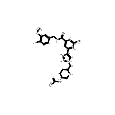 COc1cc(CNC(=O)c2cc(-c3cn(CC4CC[C@@H](NC(C)=O)CO4)nn3)nc(C)n2)ccc1F